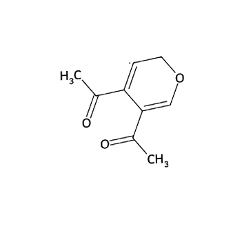 CC(=O)C1=[C]COC=C1C(C)=O